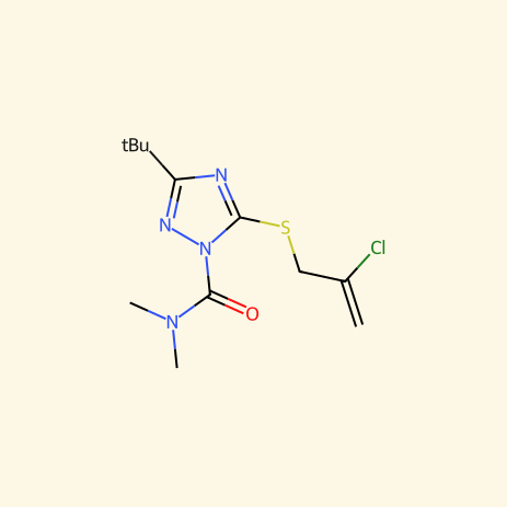 C=C(Cl)CSc1nc(C(C)(C)C)nn1C(=O)N(C)C